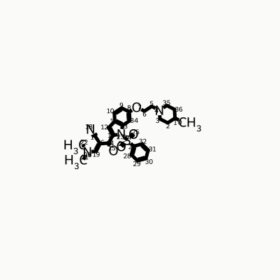 CC1CCN(CCOc2ccc3cc(C(=O)C(C#N)=CN(C)C)n(S(=O)(=O)c4ccccc4)c3c2)CC1